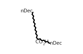 CCCCCCCCCCCCCCCCCCCCCCCCC(CCCCCCCCCCCCCCCC)C(=O)O